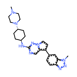 CN1CCN([C@H]2CC[C@H](Nc3ncc4c(-c5ccc6nnn(C)c6c5)ccn4n3)CC2)CC1